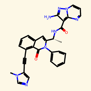 C[C@@H](NC(=O)c1c(N)nn2cccnc12)c1cc2cccc(C#Cc3cncn3C)c2c(=O)n1-c1ccccc1